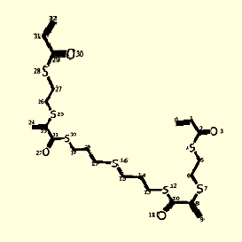 C=CC(=O)SCCSC(=C)C(=O)SCCCSCCCSC(=O)C(=C)SCCSC(=O)C=C